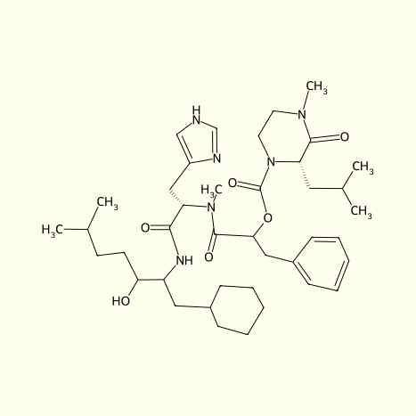 CC(C)CCC(O)C(CC1CCCCC1)NC(=O)[C@H](Cc1c[nH]cn1)N(C)C(=O)C(Cc1ccccc1)OC(=O)N1CCN(C)C(=O)[C@@H]1CC(C)C